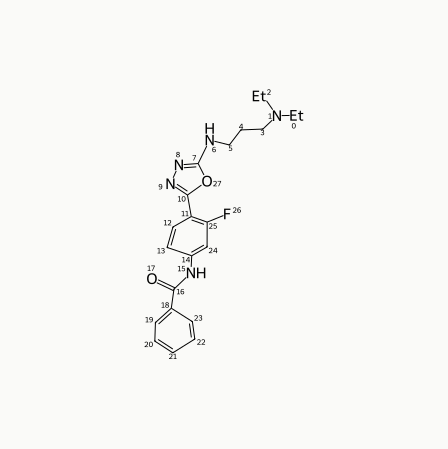 CCN(CC)CCCNc1nnc(-c2ccc(NC(=O)c3ccccc3)cc2F)o1